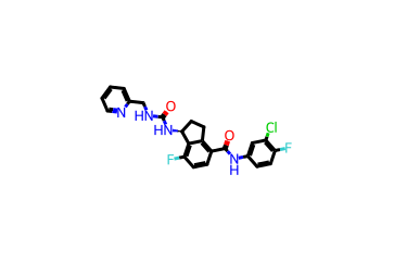 O=C(NCc1ccccn1)N[C@H]1CCc2c(C(=O)Nc3ccc(F)c(Cl)c3)ccc(F)c21